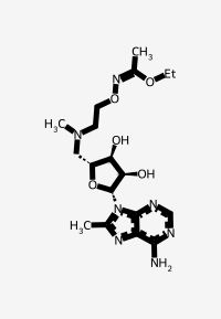 CCO/C(C)=N\OCCN(C)C[C@H]1O[C@@H](n2c(C)nc3c(N)ncnc32)[C@H](O)[C@@H]1O